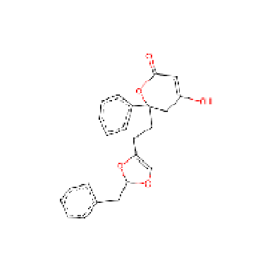 O=C1C=C(O)CC(CCC2=COC(Cc3ccccc3)O2)(c2ccccc2)O1